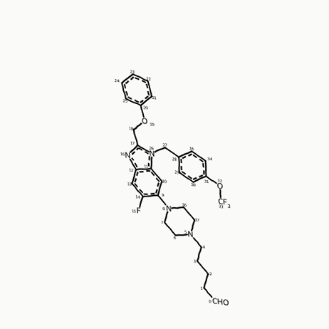 O=CCCCCN1CCN(c2cc3c(cc2F)nc(COc2ccccc2)n3Cc2ccc(OC(F)(F)F)cc2)CC1